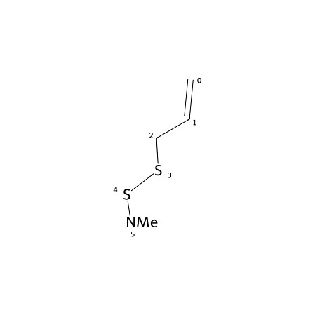 C=CCSSNC